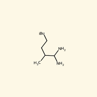 CCC(C)CCC(C)C(N)N